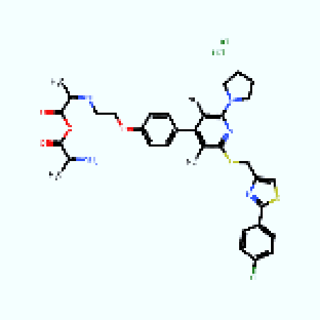 CC(N)C(=O)OC(=O)C(C)NCCOc1ccc(-c2c(C#N)c(SCc3csc(-c4ccc(Cl)cc4)n3)nc(N3CCCC3)c2C#N)cc1.Cl.Cl